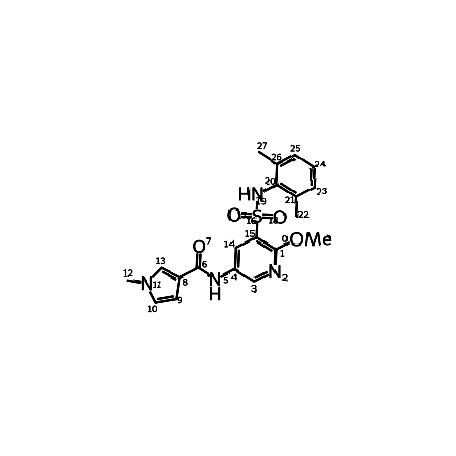 COc1ncc(NC(=O)c2ccn(C)c2)cc1S(=O)(=O)Nc1c(C)cccc1C